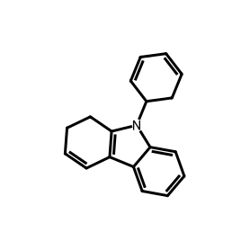 C1=CCC(n2c3c(c4ccccc42)C=CCC3)C=C1